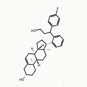 C[C@]12CC[C@H]3[C@@H](CC=C4C[C@@H](O)CC[C@@]43C)[C@@H]1CC[C@@H]2c1ccccc1C(CCO)c1ccc(F)cc1